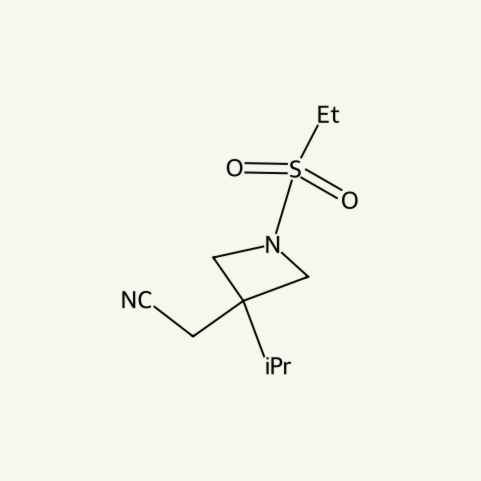 CCS(=O)(=O)N1CC(CC#N)(C(C)C)C1